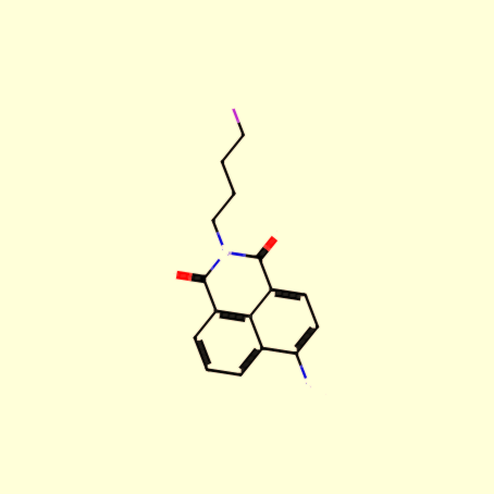 Nc1ccc2c3c(cccc13)C(=O)N(CCCCI)C2=O